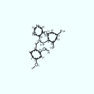 COc1ccc(CN(Sc2c(F)cc(F)cc2Cl)c2ccncn2)c(OC)c1